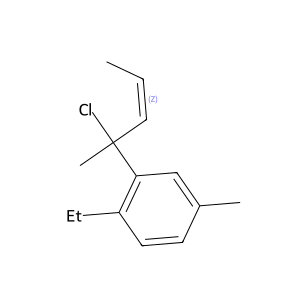 C/C=C\C(C)(Cl)c1cc(C)ccc1CC